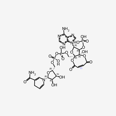 NC(=O)C1=CN([C@@H]2O[C@H](COP(=O)(O)OP(=O)(O)OC[C@@]34OC(=O)/C=C\C(=O)O[C@]3(O)[C@H](OP(=O)(O)O)[C@H](n3cnc5c(N)ncnc53)O4)[C@@H](O)[C@H]2O)C=CC1